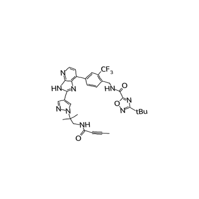 CC#CC(=O)NCC(C)(C)n1cc(-c2nc3c(-c4ccc(CNC(=O)c5nc(C(C)(C)C)no5)c(C(F)(F)F)c4)ccnc3[nH]2)cn1